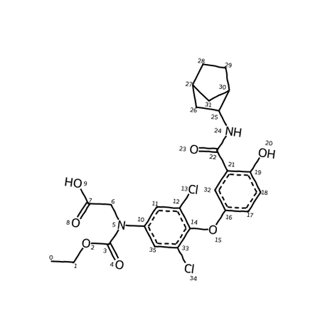 CCOC(=O)N(CC(=O)O)c1cc(Cl)c(Oc2ccc(O)c(C(=O)NC3CC4CCC3C4)c2)c(Cl)c1